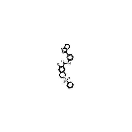 O=C(Nc1cccc(-c2nnc3n2CCC3)n1)c1cc2c(cc1F)CCN(S(=O)(=O)c1ccccn1)C2